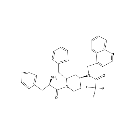 N[C@H](Cc1ccccc1)C(=O)N1CC[C@H](N(Cc2ccnc3ccccc23)C(=O)C(F)(F)F)C[C@H]1Cc1ccccc1